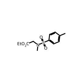 CCOC(=O)CN(C)S(=O)(=O)c1ccc(C)cc1